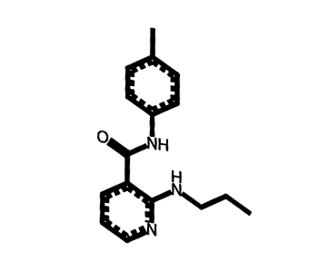 CCCNc1ncccc1C(=O)Nc1ccc(C)cc1